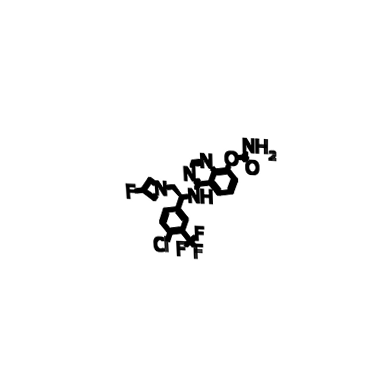 NC(=O)Oc1cccc2c(N[C@H](CN3CC(F)C3)c3ccc(Cl)c(C(F)(F)F)c3)ncnc12